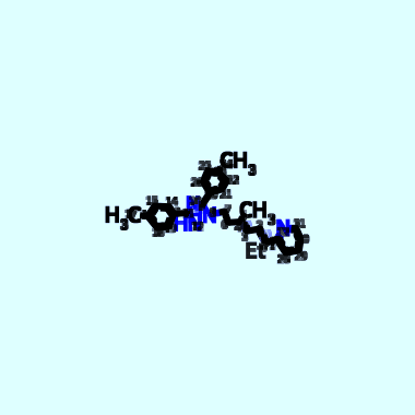 CC/C(=C\C=C(/C)CCN/C(=N\C(=N)c1ccc(C)cc1)c1ccc(C)cc1)c1ccccn1